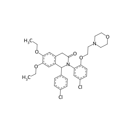 CCOc1cc2c(cc1OCC)C(c1ccc(Cl)cc1)N(c1cc(Cl)ccc1OCCN1CCOCC1)C(=O)C2